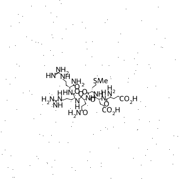 CSCC[C@H](NC(=O)[C@H](CCC(=O)O)NC(=O)[C@@H](N)CCC(=O)O)C(=O)N[C@@H](CCC(N)=O)C(=O)N[C@@H](CCCNC(=N)N)C(=O)N[C@@H](CCCNC(=N)N)C(N)=O